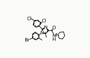 Cc1cc(Br)ccc1-n1c(-c2ccc(Cl)cc2Cl)nc(C(=O)NN2CCCCC2)c1C